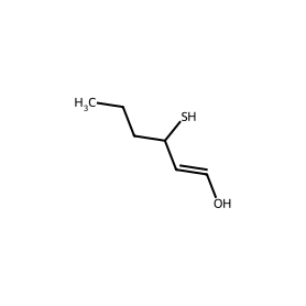 CCCC(S)C=CO